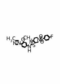 COc1cc(Nc2nc3c(s2)CN(S(=O)(=O)c2ccc(F)cc2)CC3)ccc1-n1cnc(C)c1